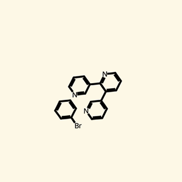 Brc1ccccc1.c1cncc(-c2cccnc2-c2cccnc2)c1